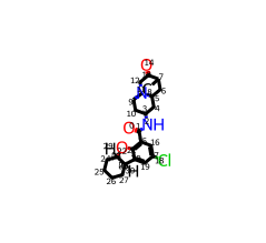 O=C(NC1CC2CC3CC(C1)N2CC3=O)c1cc(Cl)cc2c1O[C@H]1CCCC[C@H]21